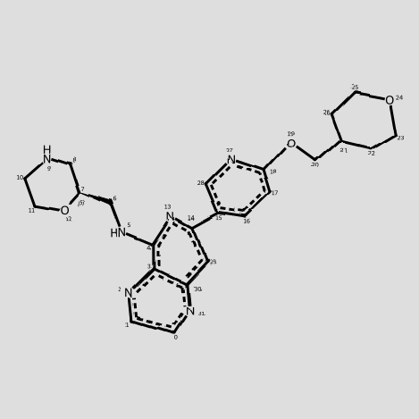 c1cnc2c(NC[C@@H]3CNCCO3)nc(-c3ccc(OCC4CCOCC4)nc3)cc2n1